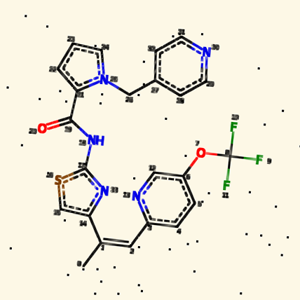 CC(=Cc1ccc(OC(F)(F)F)cn1)c1csc(NC(=O)c2cccn2Cc2ccncc2)n1